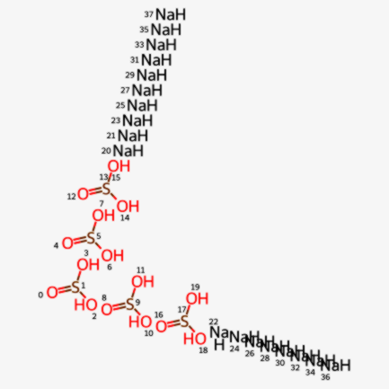 O=S(O)O.O=S(O)O.O=S(O)O.O=S(O)O.O=S(O)O.[NaH].[NaH].[NaH].[NaH].[NaH].[NaH].[NaH].[NaH].[NaH].[NaH].[NaH].[NaH].[NaH].[NaH].[NaH].[NaH].[NaH].[NaH]